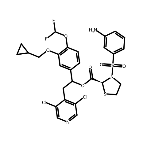 Nc1cccc(S(=O)(=O)N2CCS[C@H]2C(=O)OC(Cc2c(Cl)cncc2Cl)c2ccc(OC(F)F)c(OCC3CC3)c2)c1